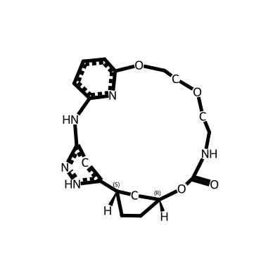 O=C1NCCOCCOc2cccc(n2)Nc2cc([nH]n2)[C@H]2CC[C@H](C2)O1